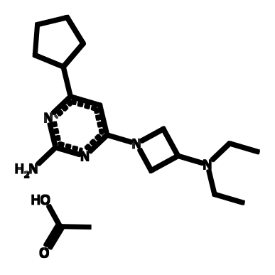 CC(=O)O.CCN(CC)C1CN(c2cc(C3CCCC3)nc(N)n2)C1